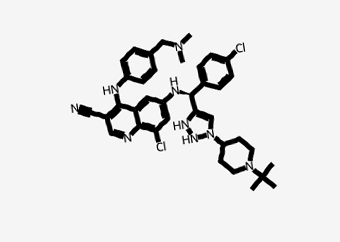 CN(C)Cc1ccc(Nc2c(C#N)cnc3c(Cl)cc(N[C@H](C4=CN(C5CCN(C(C)(C)C)CC5)NN4)c4ccc(Cl)cc4)cc23)cc1